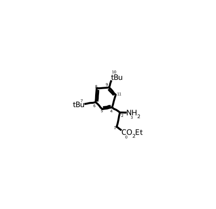 CCOC(=O)CC(N)c1cc(C(C)(C)C)cc(C(C)(C)C)c1